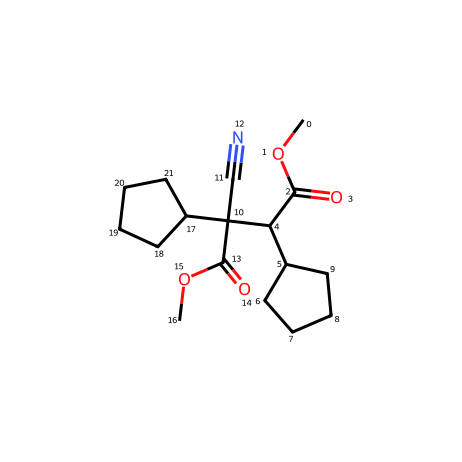 COC(=O)C(C1CCCC1)C(C#N)(C(=O)OC)C1CCCC1